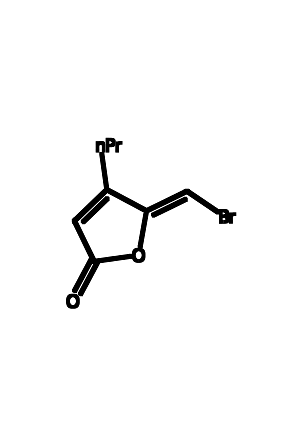 CCCC1=CC(=O)OC1=CBr